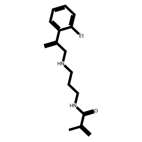 C=C(C)C(=O)NCCCNCC(=C)c1ccccc1CC